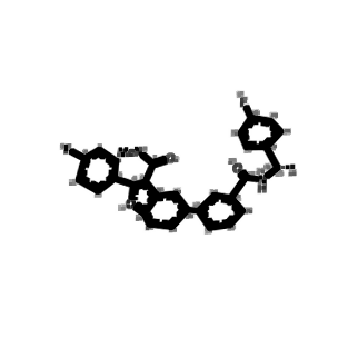 CNC(=O)c1c(-c2ccc(F)cc2)oc2ccc(-c3cccc(C(=O)N[C@@H](C)c4ccc(F)cc4)c3)cc12